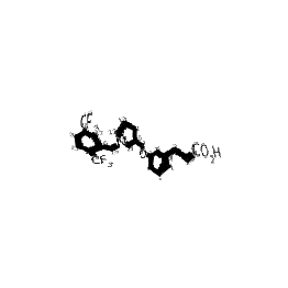 O=C(O)CCc1cccc(OCC2CCCN(Cc3cc(C(F)(F)F)ccc3C(F)(F)F)C2)c1